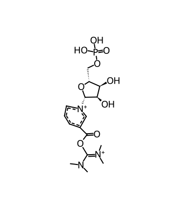 CN(C)C(OC(=O)c1ccc[n+]([C@@H]2O[C@H](COP(=O)(O)O)[C@@H](O)[C@H]2O)c1)=[N+](C)C